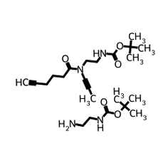 C#CCCCC(=O)N(C#CC)CCNC(=O)OC(C)(C)C.CC(C)(C)OC(=O)NCCN